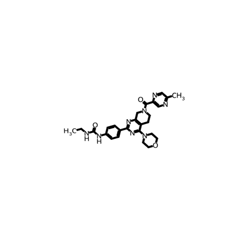 CCNC(=O)Nc1ccc(-c2nc3c(c(N4CCOCC4)n2)CCN(C(=O)c2cnc(C)cn2)C3)cc1